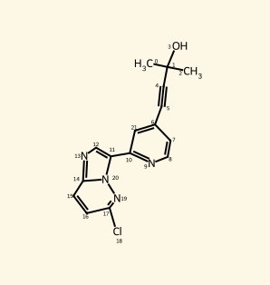 CC(C)(O)C#Cc1ccnc(-c2cnc3ccc(Cl)nn23)c1